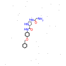 NCC(=O)N[C@H]1CN[C@H](C(=O)Nc2ccc(OCc3ccccc3)cc2)C1